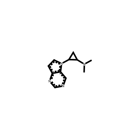 CN(C)C1CC1n1ccc2ncncc21